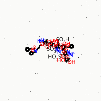 CC1O[C@@H](O[C@@H]2C(COS(=O)(=O)O)O[C@H](O[C@H]3C(C)C(O)[C@H](O[C@H]4C(C)C(N=[N+]=[N-])[C@@H](OCCCCCN(Cc5ccccc5)C(=O)OCc5ccccc5)O[C@H]4COS(=O)(=O)O)O[C@H]3C)[C@@H](N=[N+]=[N-])C2C)C(O)[C@H](OCc2ccccc2)[C@@H]1O[C@H]1O[C@@H](COS(=O)(=O)O)[C@@H](O[C@@H]2O[C@@H](C)[C@@H](O)C(C)C2O)C(C)C1N=[N+]=[N-]